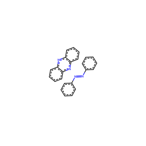 c1ccc(N=Nc2ccccc2)cc1.c1ccc2nc3ccccc3nc2c1